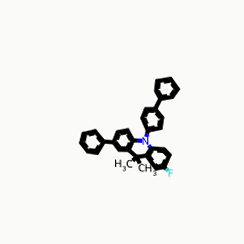 CC1(C)c2cc(F)ccc2N(c2ccc(-c3ccccc3)cc2)c2ccc(-c3ccccc3)cc21